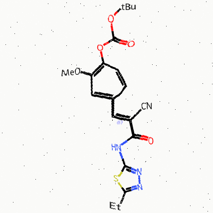 CCc1nnc(NC(=O)/C(C#N)=C/c2ccc(OC(=O)OC(C)(C)C)c(OC)c2)s1